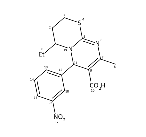 CCC1CCSC2=NC(C)=C(C(=O)O)C(c3cccc([N+](=O)[O-])c3)N21